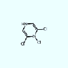 ClC1=CNC=C(Cl)N1Cl